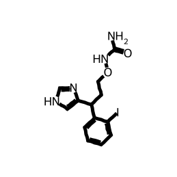 NC(=O)NOCCC(c1c[nH]cn1)c1ccccc1I